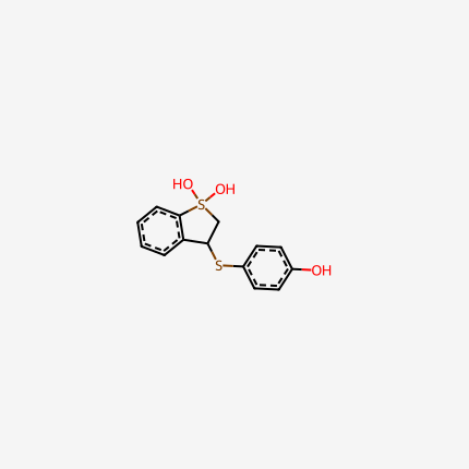 Oc1ccc(SC2CS(O)(O)c3ccccc32)cc1